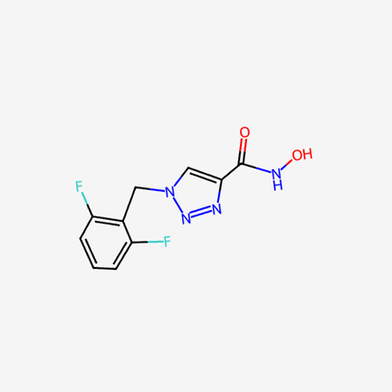 O=C(NO)c1cn(Cc2c(F)cccc2F)nn1